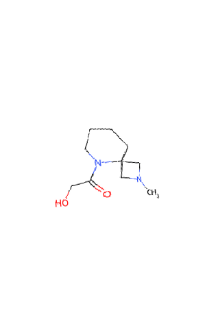 CN1CC2(CCCCN2C(=O)CO)C1